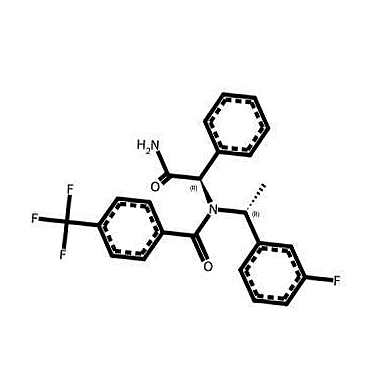 C[C@H](c1cccc(F)c1)N(C(=O)c1ccc(C(F)(F)F)cc1)[C@@H](C(N)=O)c1ccccc1